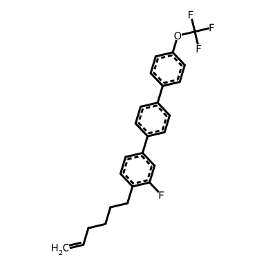 C=CCCCCc1ccc(-c2ccc(-c3ccc(OC(F)(F)F)cc3)cc2)cc1F